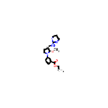 CCOC(=O)c1cccc(N2CC[C@@H](CNc3ncccn3)[C@@H]2OC)c1